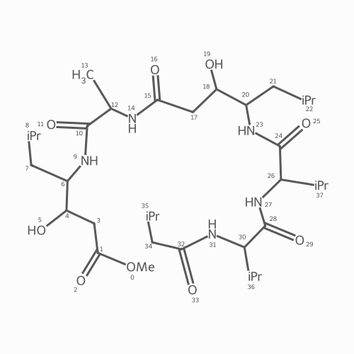 COC(=O)CC(O)C(CC(C)C)NC(=O)C(C)NC(=O)CC(O)C(CC(C)C)NC(=O)C(NC(=O)C(NC(=O)CC(C)C)C(C)C)C(C)C